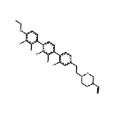 C=CC1CCC(CCc2ccc(-c3ccc(-c4ccc(OCC)c(F)c4F)c(F)c3F)c(F)c2)OC1